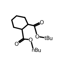 CCCCOC(=O)C1CCCCC1C(=O)OC(C)(C)C